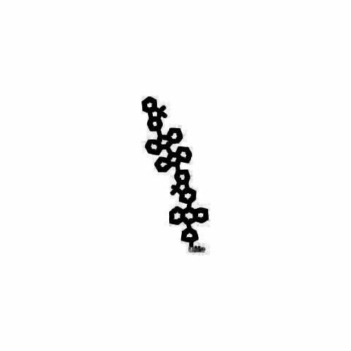 COc1ccc(-c2c3ccccc3c(-c3ccc4c(c3)C(C)(C)c3cc(-c5c6ccccc6c(-c6c7ccccc7c(-c7ccc8c(c7)C(C)(C)c7ccccc7-8)c7ccccc67)c6ccccc56)ccc3-4)c3ccccc23)cc1